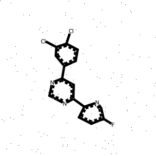 Fc1ccc(-c2cc(-c3ccc(Cl)c(Cl)c3)ncn2)nc1